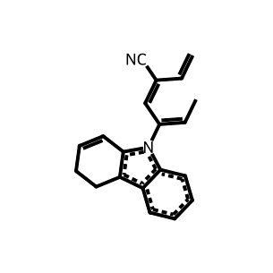 C=C/C(C#N)=C\C(=C/C)n1c2c(c3ccccc31)CCC=C2